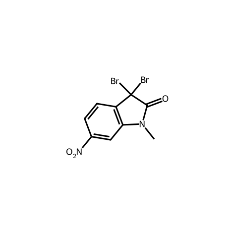 CN1C(=O)C(Br)(Br)c2ccc([N+](=O)[O-])cc21